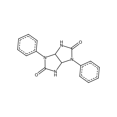 O=C1NC2C(NC(=O)N2c2ccccc2)N1c1ccccc1